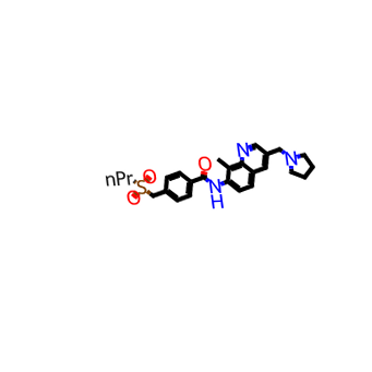 CCCS(=O)(=O)Cc1ccc(C(=O)Nc2ccc3cc(CN4CCCC4)cnc3c2C)cc1